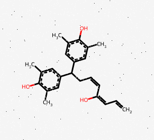 C=C/C=C(O)\C=C/CC(c1cc(C)c(O)c(C)c1)c1cc(C)c(O)c(C)c1